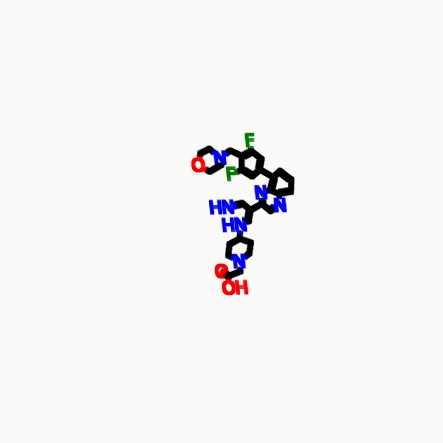 N=C/C(=C\NC1CCN(CC(=O)O)CC1)c1cnc2cccc(-c3cc(F)c(CN4CCOCC4)c(F)c3)c2n1